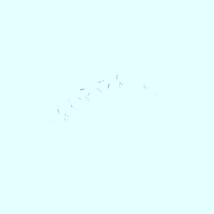 O=C(NCCCN1CCOCC1)c1ccc(-c2ccc3nc(NC(=O)C4CC4)sc3n2)cc1